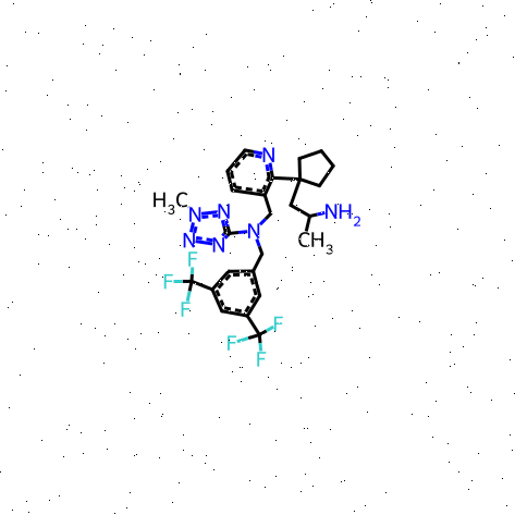 CC(N)CC1(c2ncccc2CN(Cc2cc(C(F)(F)F)cc(C(F)(F)F)c2)c2nnn(C)n2)CCCC1